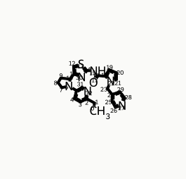 CCc1ccc(N2CCCC2c2csc(NC(=O)c3cccn3Cc3ccncc3)n2)cn1